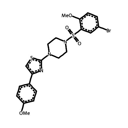 COc1ccc(-c2csc(N3CCN(S(=O)(=O)c4cc(Br)ccc4OC)CC3)n2)cc1